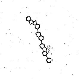 CC1(C)c2cc(-c3cccnc3)ccc2-c2ccc(-c3ccc4cc(-c5ccc6nc7c8ccccc8sc7n6c5)ccc4c3)cc21